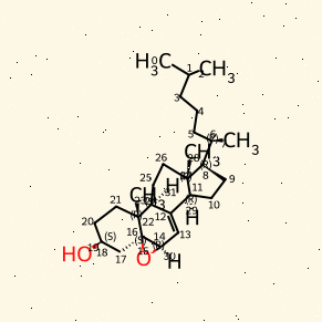 CC(C)CCC[C@@H](C)[C@H]1CC[C@H]2C3=C[C@H]4O[C@]45C[C@@H](O)CC[C@]5(C)[C@H]3CC[C@]12C